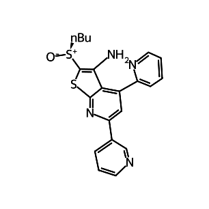 CCCC[S@+]([O-])c1sc2nc(-c3cccnc3)cc(-c3ccccn3)c2c1N